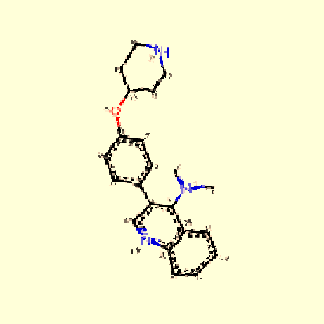 CN(C)c1c(-c2ccc(OC3CCNCC3)cc2)cnc2ccccc12